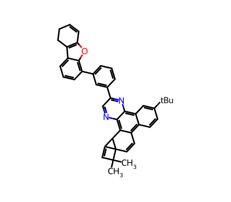 CC(C)(C)c1ccc2c3c(c4ncc(-c5cccc(-c6cccc7c8c(oc67)C=CCC8)c5)nc4c2c1)C1C2=CC(C)(C)C21C=C3